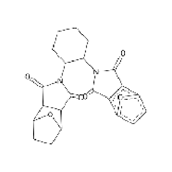 O=C1c2c(c3ccc2o3)C(=O)N1C1CCCCC1N1C(=O)C2C3CCC(O3)C2C1=O